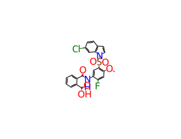 COc1cc(F)c(NC(=O)c2ccccc2C(=O)O)cc1S(=O)(=O)n1ccc2ccc(Cl)cc21